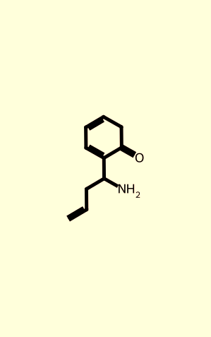 C=CCC(N)C1=CC=CCC1=O